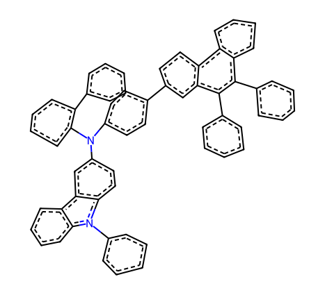 c1ccc(-c2ccccc2N(c2ccc(-c3ccc4c(c3)c(-c3ccccc3)c(-c3ccccc3)c3ccccc34)cc2)c2ccc3c(c2)c2ccccc2n3-c2ccccc2)cc1